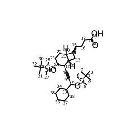 CC(C)(C)[Si](C)(C)O[C@H](C#C[C@@H]1[C@H]2CC(=CCCC(=O)O)[C@H]2CC[C@H]1O[Si](C)(C)C(C)(C)C)C1CCCCC1